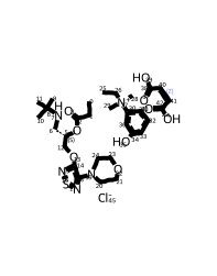 CCC(=O)O[C@@H](CNC(C)(C)C)COc1nsnc1N1CCOCC1.CC[N+](C)(C)c1cccc(O)c1.O=C(O)/C=C\C(=O)O.[Cl-]